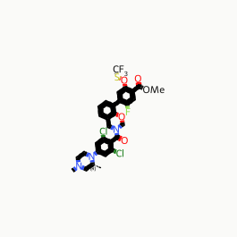 COC(=O)c1cc(F)c(-c2cccc3c2OCN(C(=O)c2c(Cl)cc(N4CCN(C)C[C@H]4C)cc2Cl)C3)cc1OSC(F)(F)F